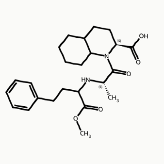 COC(=O)C(CCc1ccccc1)N[C@@H](C)C(=O)N1C2CCCCC2CC[C@H]1C(=O)O